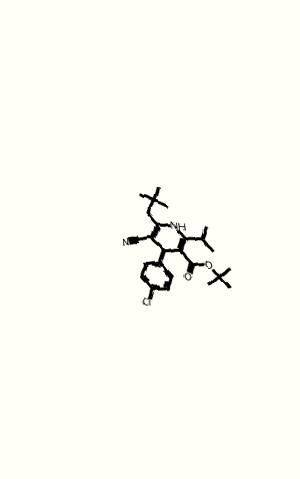 CC(C)C1=C(C(=O)OC(C)(C)C)C(c2ccc(Cl)cc2)C(C#N)=C(CC(C)(C)C)N1